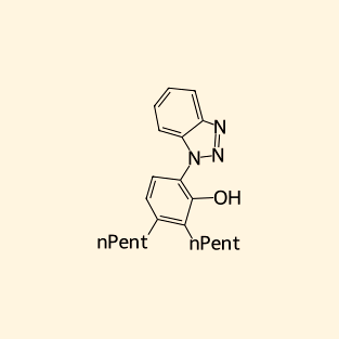 CCCCCc1ccc(-n2nnc3ccccc32)c(O)c1CCCCC